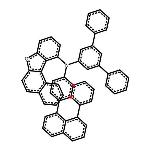 c1ccc(-c2cc(-c3ccccc3)cc(N(c3ccc(-c4cccc5cccc(-c6ccccc6)c45)cc3)c3cccc4oc5ccc6ccccc6c5c34)c2)cc1